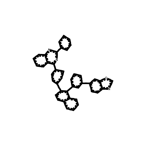 c1ccc(-c2nc(-c3ccc(-c4ccc5ccccc5c4-c4cccc(-c5ccc6ncoc6c5)c4)cc3)c3ccccc3n2)cc1